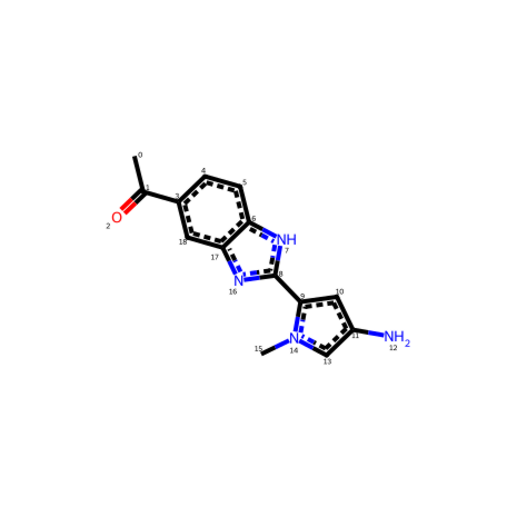 CC(=O)c1ccc2[nH]c(-c3cc(N)cn3C)nc2c1